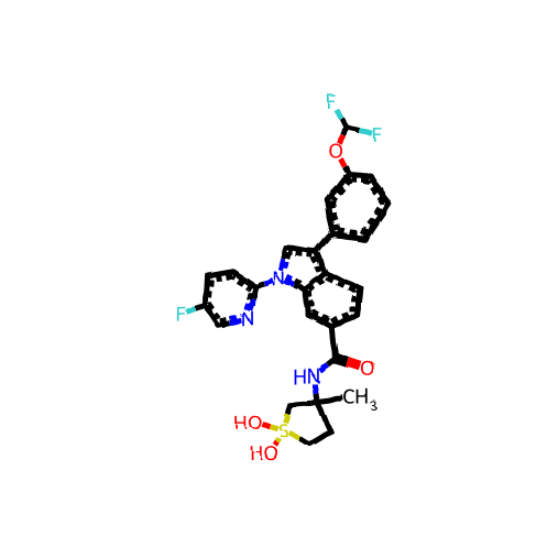 CC1(NC(=O)c2ccc3c(-c4cccc(OC(F)F)c4)cn(-c4ccc(F)cn4)c3c2)CCS(O)(O)C1